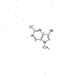 Cn1cc(Br)c2nc(Cl)ncc21